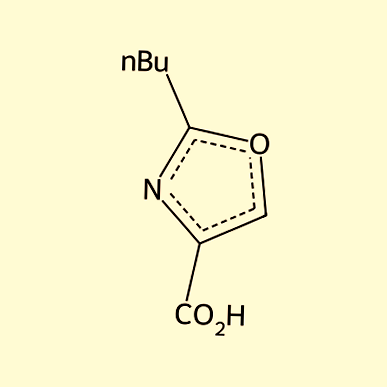 CCCCc1nc(C(=O)O)co1